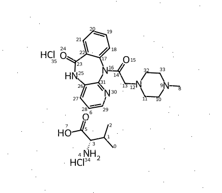 CC(C)[C@H](N)C(=O)O.CN1CCN(CC(=O)N2c3ccccc3C(=O)Nc3cccnc32)CC1.Cl.Cl